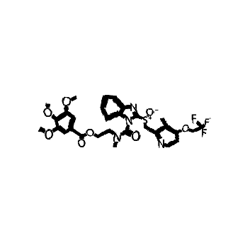 COc1cc(C(=O)OCCN(C)C(=O)n2c([S+]([O-])Cc3nccc(OCC(F)(F)F)c3C)nc3ccccc32)cc(OC)c1OC